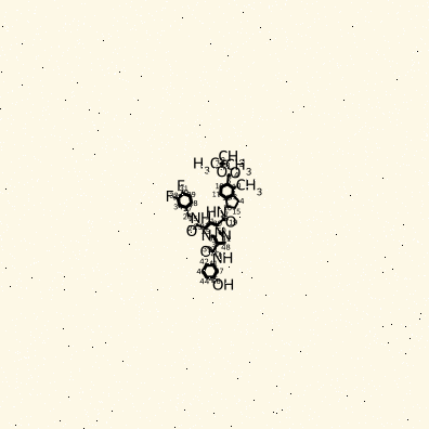 Cc1c(C(=O)OC(C)(C)C)ccc2c1CC[C@@H]2NC(=O)c1cc(C(=O)NCc2ccc(F)c(F)c2)nc2c(C(=O)Nc3cccc(O)c3)cnn12